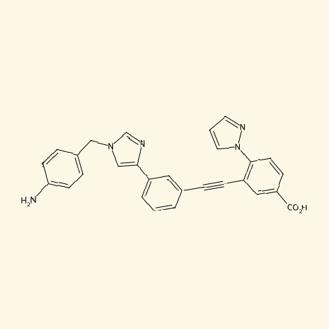 Nc1ccc(Cn2cnc(-c3cccc(C#Cc4cc(C(=O)O)ccc4-n4cccn4)c3)c2)cc1